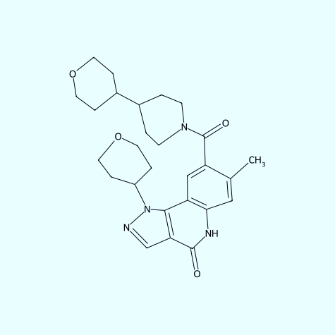 Cc1cc2[nH]c(=O)c3cnn(C4CCOCC4)c3c2cc1C(=O)N1CCC(C2CCOCC2)CC1